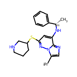 CC(C)c1cnc2c(N[C@@H](C)c3ccccc3)cc(SC3CCCNC3)nn12